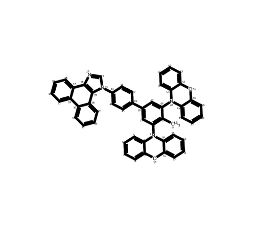 Cc1c(N2c3ccccc3Oc3ccccc32)cc(-c2ccc(-n3cnc4c5ccccc5c5ccccc5c43)cc2)cc1N1c2ccccc2Oc2ccccc21